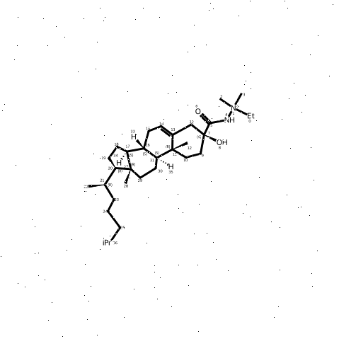 CC[N+](C)(C)NC(=O)[C@]1(O)CC[C@@]2(C)C(=CC[C@H]3[C@@H]4CC[C@H]([C@H](C)CCCC(C)C)[C@@]4(C)CC[C@@H]32)C1